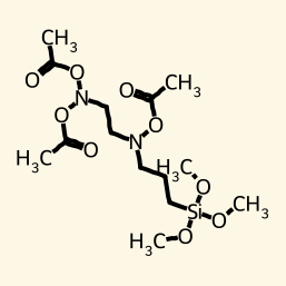 CO[Si](CCCN(CCN(OC(C)=O)OC(C)=O)OC(C)=O)(OC)OC